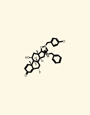 C[C@]12C=CC(=O)C=C1[C@@H](F)C[C@H]1[C@@H]3C[C@H]4CN(Cc5ccc(Cl)cc5)O[C@@]4(C(=O)NCc4ccccc4)[C@@]3(C)C[C@H](O)[C@@]12F